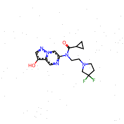 O=C(C1CC1)N(CCN1CCC(F)(F)C1)c1cn2ncc(O)c2cn1